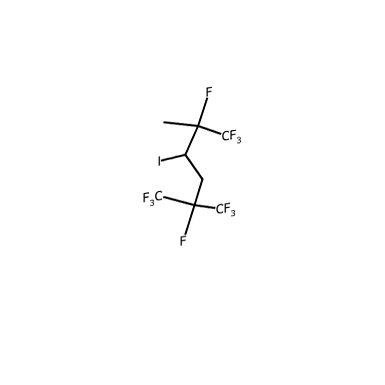 CC(F)(C(I)CC(F)(C(F)(F)F)C(F)(F)F)C(F)(F)F